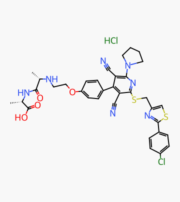 C[C@H](NC(=O)[C@H](C)NCCOc1ccc(-c2c(C#N)c(SCc3csc(-c4ccc(Cl)cc4)n3)nc(N3CCCC3)c2C#N)cc1)C(=O)O.Cl